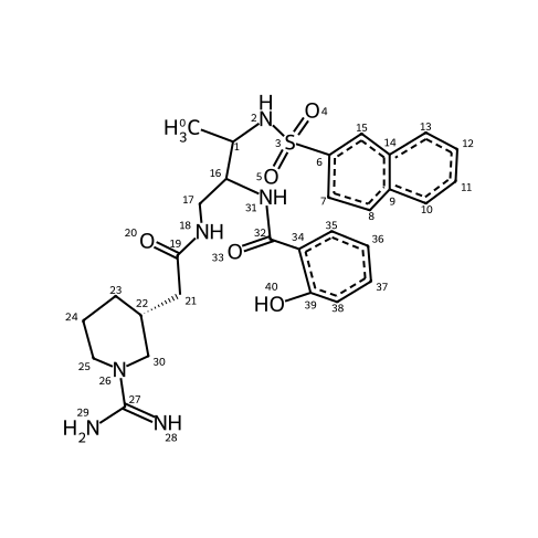 CC(NS(=O)(=O)c1ccc2ccccc2c1)C(CNC(=O)C[C@H]1CCCN(C(=N)N)C1)NC(=O)c1ccccc1O